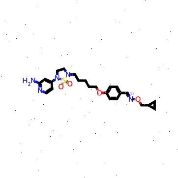 Nc1cc(N2CCN(CCCCCOc3ccc(/C=N/OCC4CC4)cc3)S2(=O)=O)ccn1